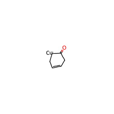 O=C1CC=CCC1.[Cu]